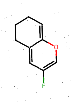 FC1=COC2=CCC[CH]C2=C1